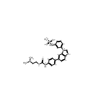 CN(C)CCOC(=O)Nc1ccc(-c2ccc3ncn(-c4cccc(NS(C)(=O)=O)c4)c3c2)cc1